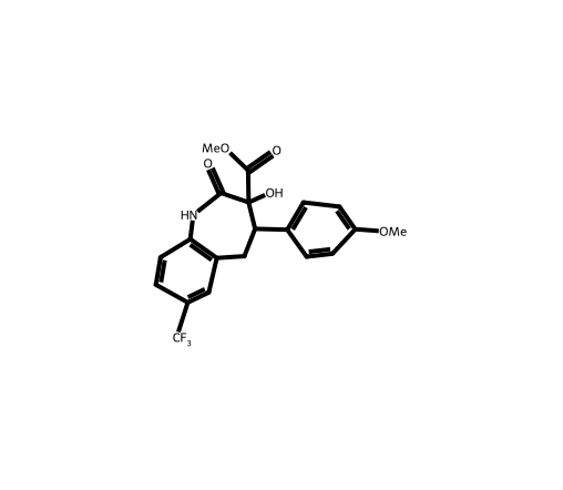 COC(=O)C1(O)C(=O)Nc2ccc(C(F)(F)F)cc2CC1c1ccc(OC)cc1